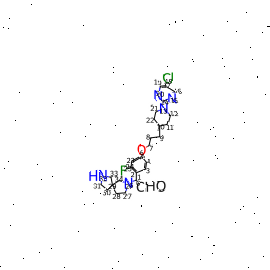 O=CC(c1ccc(OCCCC2CCN(c3ncc(Cl)cn3)CC2)cc1F)N1CCC2(CCNC2)C1